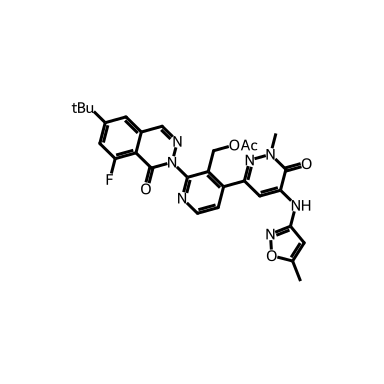 CC(=O)OCc1c(-c2cc(Nc3cc(C)on3)c(=O)n(C)n2)ccnc1-n1ncc2cc(C(C)(C)C)cc(F)c2c1=O